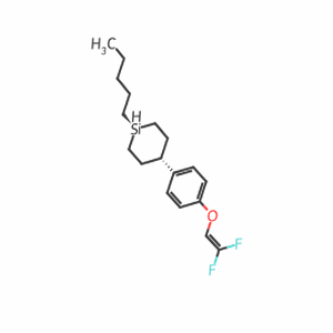 CCCCC[Si@H]1CC[C@H](c2ccc(OC=C(F)F)cc2)CC1